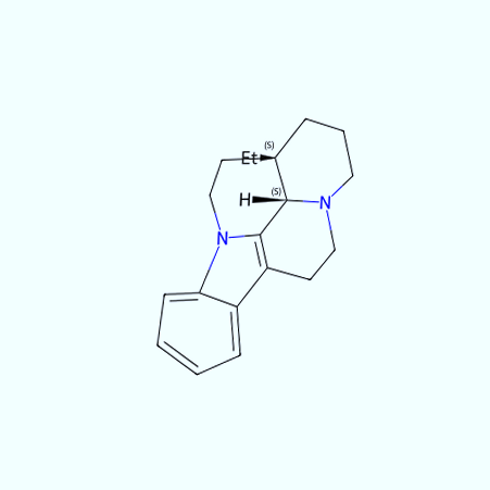 CC[C@]12CCCN3CCc4c(n(c5ccccc45)CC1)[C@@H]32